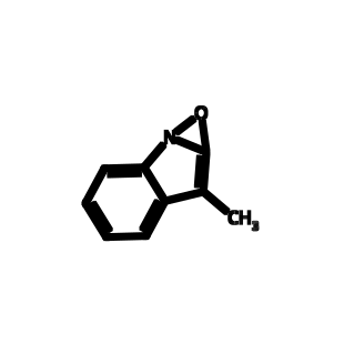 Cc1c2n(c3ccccc13)O2